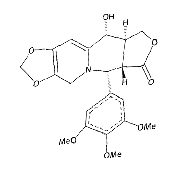 COc1cc([C@H]2[C@H]3C(=O)OC[C@@H]3[C@@H](O)C3=CC4=C(CN32)OCO4)cc(OC)c1OC